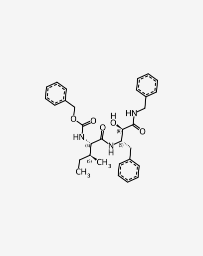 CC[C@H](C)[C@H](NC(=O)OCc1ccccc1)C(=O)N[C@@H](Cc1ccccc1)[C@@H](O)C(=O)NCc1ccccc1